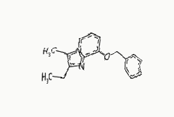 CCc1nc2c(OCc3ccccc3)cccn2c1C